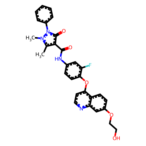 Cc1c(C(=O)Nc2ccc(Oc3ccnc4cc(OCCO)ccc34)c(F)c2)c(=O)n(-c2ccccc2)n1C